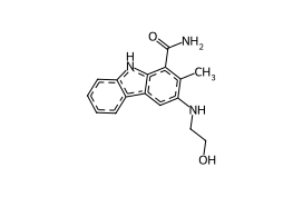 Cc1c(NCCO)cc2c([nH]c3ccccc32)c1C(N)=O